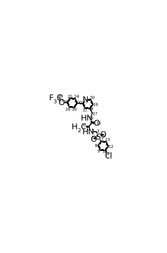 C=C(NCS(=O)(=O)c1ccc(Cl)cc1)C(=O)NCc1ccnc(-c2ccc(OC(F)(F)F)cc2)c1